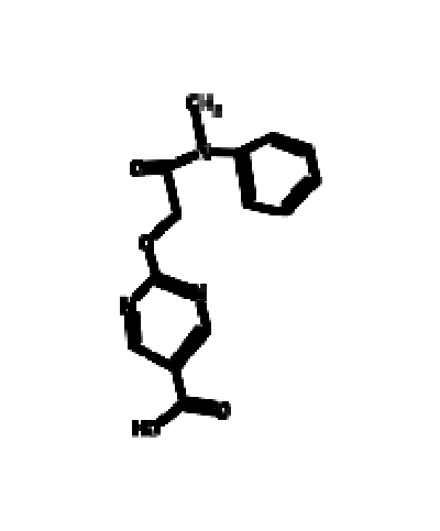 CN(C(=O)COc1ncc(C(=O)O)cn1)c1ccccc1